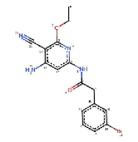 CCOc1nc(NC(=O)Cc2cccc(Br)c2)cc(N)c1C#N